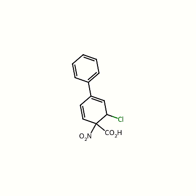 O=C(O)C1([N+](=O)[O-])C=CC(c2ccccc2)=CC1Cl